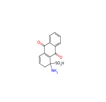 NC1(S(=O)(=O)O)CC=CC2=C1C(=O)c1ccccc1C2=O